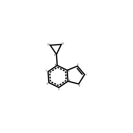 [CH]1C=Cc2c1cccc2C1CC1